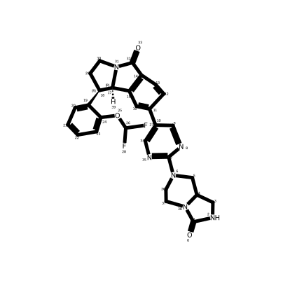 O=C1NCC2CN(c3ncc(-c4ccc5c(c4)[C@H]4[C@@H](c6ccccc6OC(F)F)CCN4C5=O)cn3)CCN12